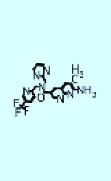 Cc1cc2cc(C(=O)N(Cc3ccc(C(F)(F)F)cn3)Cc3ncccn3)cnc2nc1N